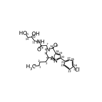 CCCCC1CN(CC(=O)NCC(O)CO)C(=O)c2cc(-c3ccc(Cl)cc3)nn21